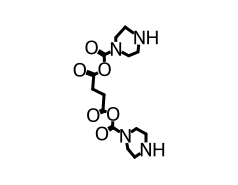 O=C(CCC(=O)OC(=O)N1CCNCC1)OC(=O)N1CCNCC1